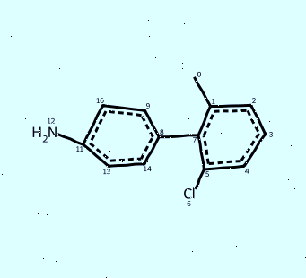 Cc1cccc(Cl)c1-c1ccc(N)cc1